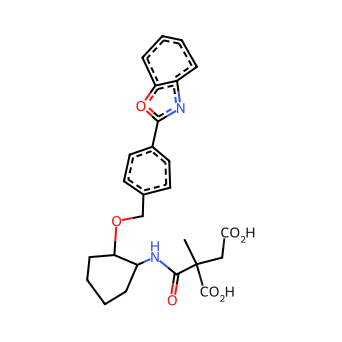 CC(CC(=O)O)(C(=O)O)C(=O)NC1CCCCC1OCc1ccc(-c2nc3ccccc3o2)cc1